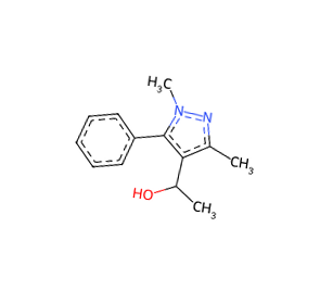 Cc1nn(C)c(-c2ccccc2)c1C(C)O